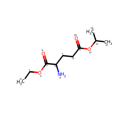 CCOC(=O)C(N)CCC(=O)OC(C)C